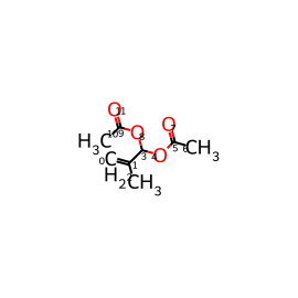 C=C(C)C(OC(C)=O)OC(C)=O